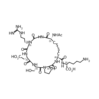 CC(=O)N[C@@H]1CSSC[C@@H](C(=O)N[C@@H](CCCCN)C(=O)O)NC(=O)[C@@H]2CCCN2C(=O)[C@H](CO)NC(=O)[C@H](CC(=O)O)NC(=O)[C@H](CCCNC(=N)N)NC(=O)CNC1=O